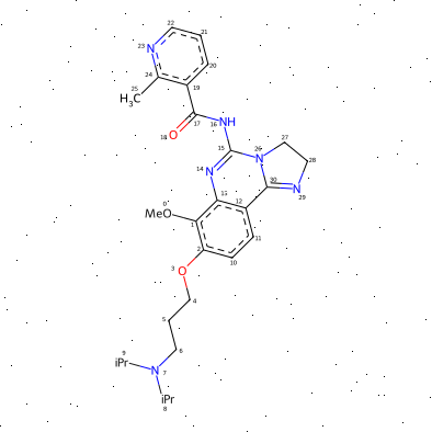 COc1c(OCCCN(C(C)C)C(C)C)ccc2c1N=C(NC(=O)c1cccnc1C)N1CCN=C21